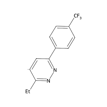 CCc1[c]cc(-c2ccc(C(F)(F)F)cc2)nn1